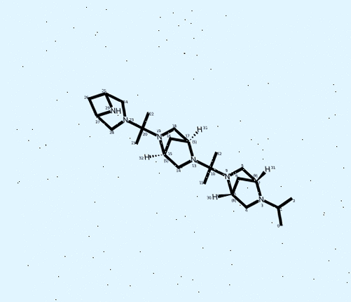 CC(C)N1C[C@H]2C[C@@H]1CN2C(C)(C)N1C[C@@H]2C[C@H]1CN2C(C)(C)N1CC2CC(C1)N2